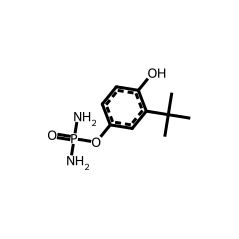 CC(C)(C)c1cc(OP(N)(N)=O)ccc1O